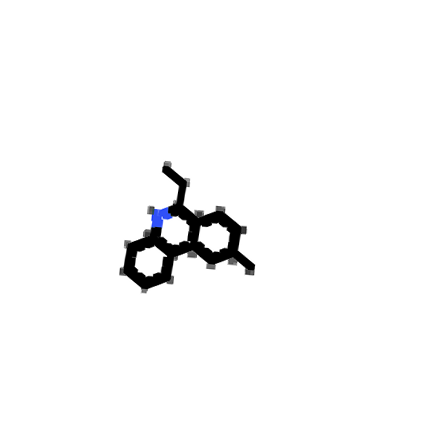 CCc1nc2ccccc2c2cc(C)ccc12